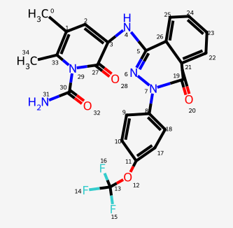 Cc1cc(Nc2nn(-c3ccc(OC(F)(F)F)cc3)c(=O)c3ccccc23)c(=O)n(C(N)=O)c1C